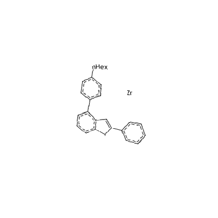 CCCCCCc1ccc(-c2cccc3c2C=C(c2ccccc2)[CH]3)cc1.[Zr]